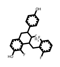 CC1C(c2ccc(O)cc2)Cc2ccc(O)c(F)c2C1Cc1c(F)cccc1F